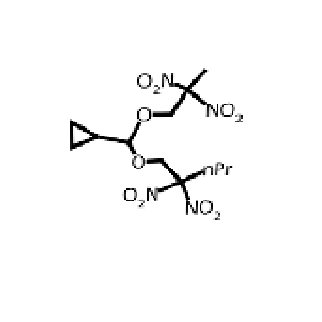 CCCC(COC(OCC(C)([N+](=O)[O-])[N+](=O)[O-])C1CC1)([N+](=O)[O-])[N+](=O)[O-]